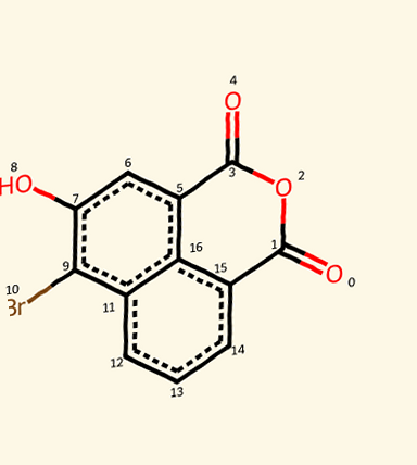 O=C1OC(=O)c2cc(O)c(Br)c3cccc1c23